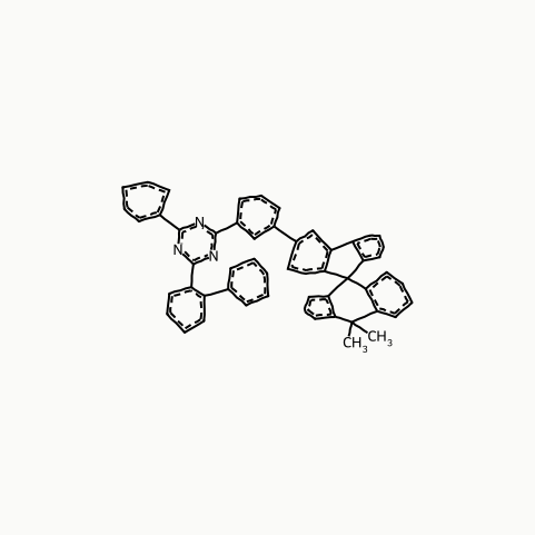 CC1(C)c2ccccc2C2(c3ccccc3-c3cc(-c4cccc(-c5nc(-c6ccccc6)nc(-c6ccccc6-c6ccccc6)n5)c4)ccc32)c2ccccc21